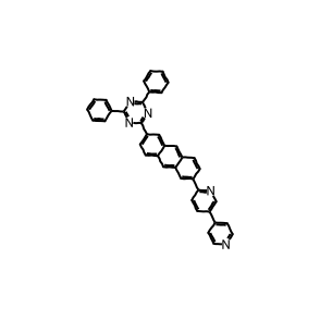 c1ccc(-c2nc(-c3ccccc3)nc(-c3ccc4cc5cc(-c6ccc(-c7ccncc7)cn6)ccc5cc4c3)n2)cc1